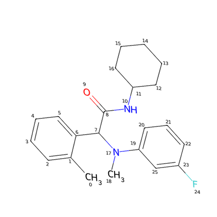 Cc1ccccc1C(C(=O)NC1CCCCC1)N(C)c1cccc(F)c1